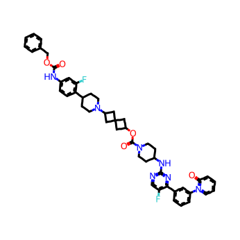 O=C(Nc1ccc(C2CCN(C3CC4(CC(OC(=O)N5CCC(Nc6ncc(F)c(-c7cccc(-n8ccccc8=O)c7)n6)CC5)C4)C3)CC2)c(F)c1)OCc1ccccc1